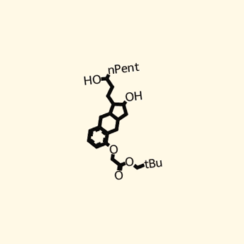 CCCCCC(O)CCC1C(O)CC2Cc3c(cccc3OCC(=O)OCC(C)(C)C)CC21